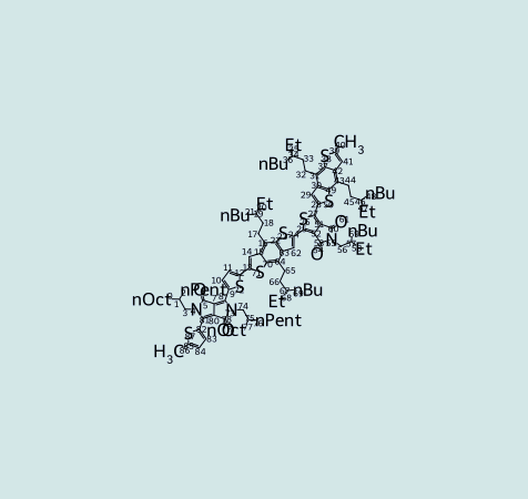 CCCCCCCCC(CCCCC)CN1C(=O)C2=C(c3ccc(-c4cc5c(CCC(CC)CCCC)c6sc(-c7sc(-c8cc9c(CCC(CC)CCCC)c%10sc(C)cc%10c(CCC(CC)CCCC)c9s8)c8c7C(=O)N(CC(CC)CCCC)C8=O)cc6c(CCC(CC)CCCC)c5s4)s3)N(CC(CCCCC)CCCCCCCC)C(=O)C2=C1c1ccc(C)s1